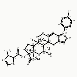 CC1N=CSC1C(=O)O[C@]1(C(=O)S)CC[C@H]2[C@@H]3CCC4=Cc5c(cnn5-c5ccc(F)cc5)C[C@]4(C)[C@H]3[C@@H](O)C[C@@]21C